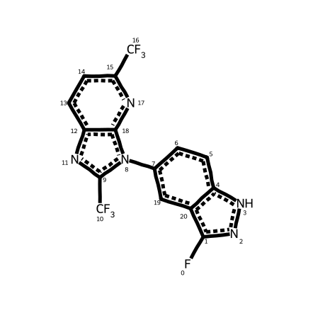 Fc1n[nH]c2ccc(-n3c(C(F)(F)F)nc4ccc(C(F)(F)F)nc43)cc12